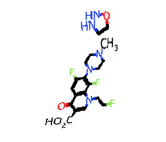 C1CONN1.CN1CCN(c2c(F)cc3c(=O)c(C(=O)O)cn(CCF)c3c2F)CC1